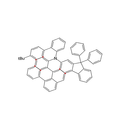 CC(C)(C)c1ccc(-c2ccccc2N(c2ccc3c(c2)C(c2ccccc2)(c2ccccc2)c2ccccc2-3)c2ccccc2-c2cccc3cccc(-c4ccccc4)c23)cc1